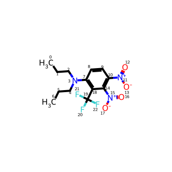 CCCN(CCC)c1ccc([N+](=O)[O-])c([N+](=O)[O-])c1C(F)(F)F